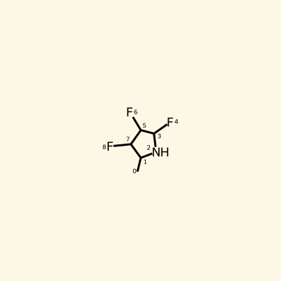 CC1NC(F)C(F)C1F